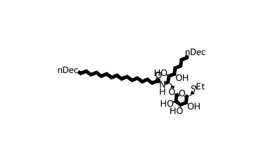 CCCCCCCCCCCCCCCCCCCCCCCCCC(=O)N[C@@H](CO[C@H]1O[C@H](CSCC)[C@H](O)[C@H](O)[C@H]1O)[C@H](O)[C@H](O)CCCCCCCCCCCCCC